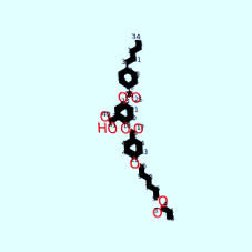 C=CC(=O)OCCCCCCOc1ccc(C(=O)Oc2ccc(OC(=O)[C@H]3CC[C@H](CCCCC)CC3)cc2C(=O)O)cc1